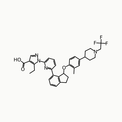 CCc1c(C(=O)O)cnn1-c1cccc(-c2cccc3c2C(Oc2ccc(C4CCN(CC(F)(F)F)CC4)cc2C)CC3)n1